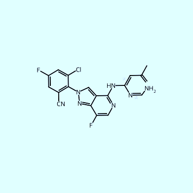 C=C(C)/C=C(\N=C/N)Nc1ncc(F)c2nn(-c3c(Cl)cc(F)cc3C#N)cc12